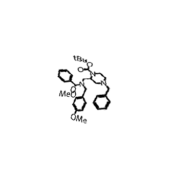 COc1ccc(CN(C[C@@H]2CN(Cc3ccccc3)CCN2C(=O)OC(C)(C)C)C(=O)c2ccccc2)c(OC)c1